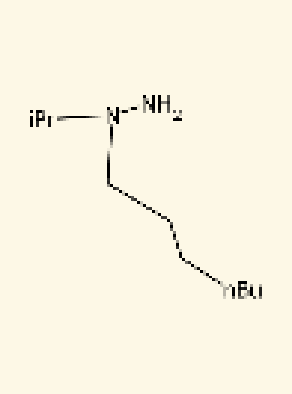 CCCCCCCN(N)C(C)C